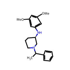 COc1cc(N[C@@H]2CCCN(C(C)c3ccccc3)C2)cc(OC)c1